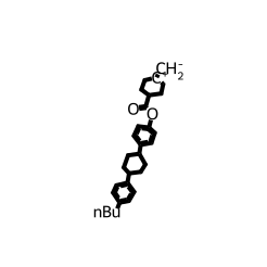 [CH2-][C+]1CCC(C(=O)Oc2ccc(C3CCC(c4ccc(CCCC)cc4)CC3)cc2)CC1